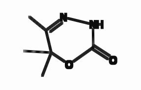 CC1=NNC(=O)OC1(C)C